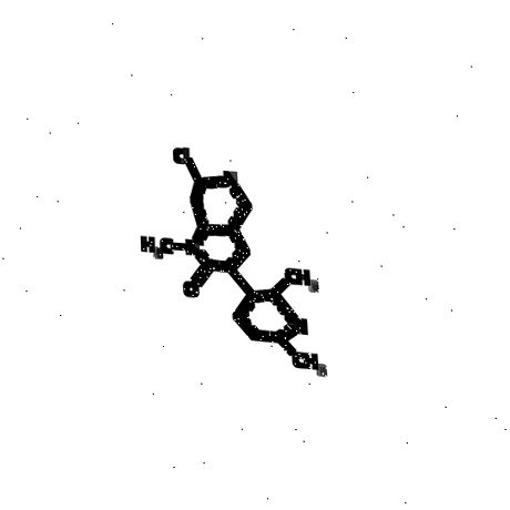 Cc1ccc(-c2cc3cnc(Cl)cc3n(C)c2=O)c(C)n1